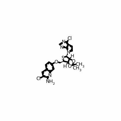 CC1(C)O[C@@H]2[C@H](O1)[C@@H](COc1ccc3cc(Cl)c(N)nc3c1)S[C@H]2n1ccc2c(Cl)ncnc21